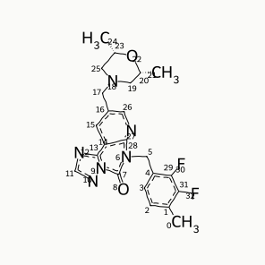 Cc1ccc(Cn2c(=O)n3ncnc3c3cc(CN4C[C@@H](C)O[C@@H](C)C4)cnc32)c(F)c1F